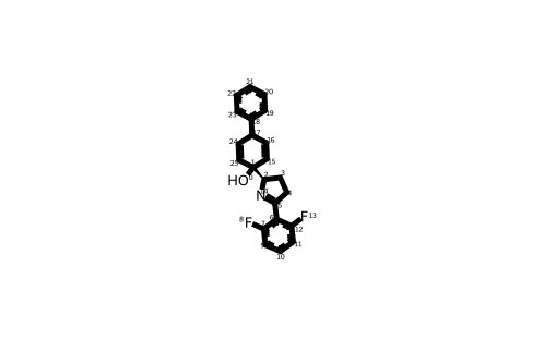 OC1([C@H]2CCC(c3c(F)cccc3F)=N2)C=CC(c2ccccc2)C=C1